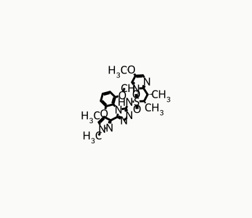 COc1cnc([C@H](C)[C@@H](C)S(=O)(=O)Nc2nnc(-c3ccn(C)n3)n2-c2c(OC)cccc2OC)nc1